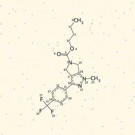 CCCCOC(=O)N1Cc2c(-c3ccc(C(F)(F)F)cc3)nn(C)c2C1